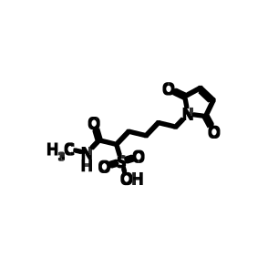 CNC(=O)C(CCCCN1C(=O)C=CC1=O)S(=O)(=O)O